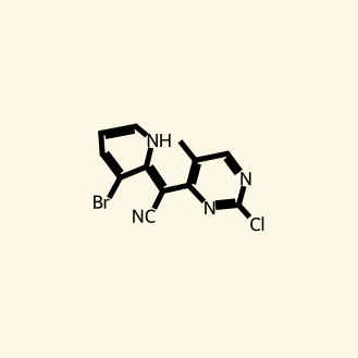 Cc1cnc(Cl)nc1C(C#N)=C1NC=CC=C1Br